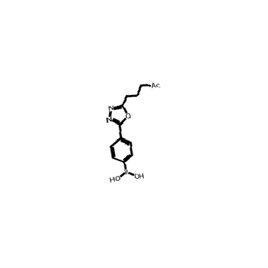 CC(=O)CCCc1nnc(-c2ccc(B(O)O)cc2)o1